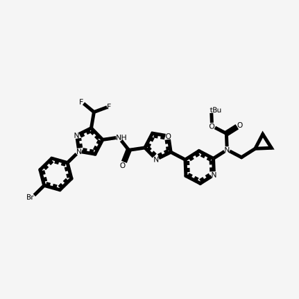 CC(C)(C)OC(=O)N(CC1CC1)c1cc(-c2nc(C(=O)Nc3cn(-c4ccc(Br)cc4)nc3C(F)F)co2)ccn1